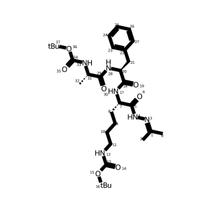 CC(C)=NNC(=O)[C@H](CCCCNC(=O)OC(C)(C)C)NC(=O)[C@H](Cc1ccccc1)NC(=O)[C@H](C)NC(=O)OC(C)(C)C